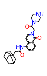 O=C(CC12CC3CC(CC(C3)C1)C2)Nc1cccc2c(=O)n(CC(=O)N3CCNCC3)ccc12